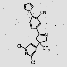 N#Cc1cc(C2=NCC(c3cc(Cl)nc(Cl)c3)(C(F)(F)F)C2)ccc1-n1cccc1